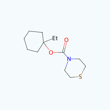 CCC1(OC(=O)N2CCSCC2)CCCCC1